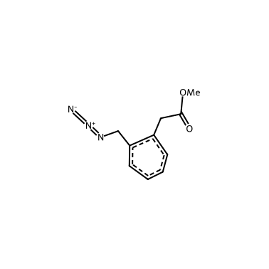 COC(=O)Cc1ccccc1CN=[N+]=[N-]